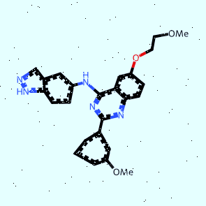 COCCOc1ccc2nc(-c3cccc(OC)c3)nc(Nc3ccc4[nH]ncc4c3)c2c1